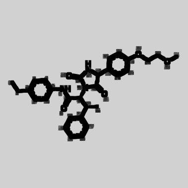 CCc1ccc(NC(=O)[C@H]([C@@H](C)c2ccccc2)N2C(=O)NC(c3ccc(OCCOC)cc3)C2=O)cc1